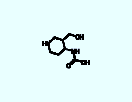 O=C(O)N[C@@H]1CCNC[C@H]1CO